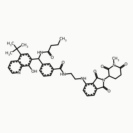 CCCC(=O)NC(c1cccc(C(=O)NCCNc2cccc3c2C(=O)N(C2CCC(=O)N(C)C2=O)C3=O)c1)c1cc(C(C)(C)C)c2cccnc2c1O